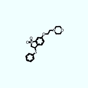 O=S1(=O)CC(Sc2ccccc2)c2ccc(OCCN3CCOCC3)cc21